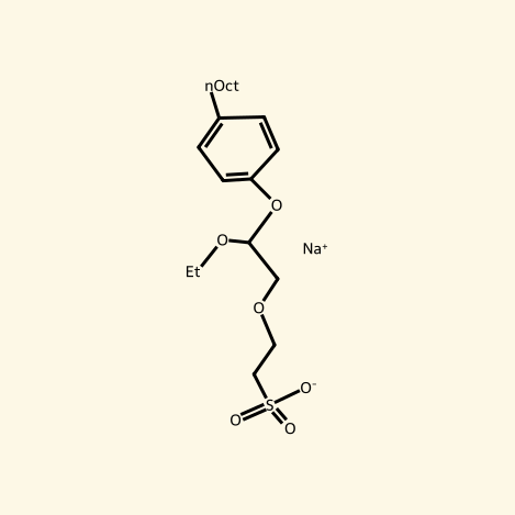 CCCCCCCCc1ccc(OC(COCCS(=O)(=O)[O-])OCC)cc1.[Na+]